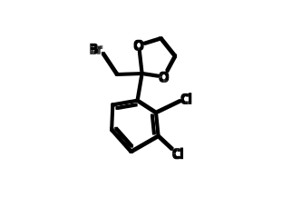 Clc1cccc(C2(CBr)OCCO2)c1Cl